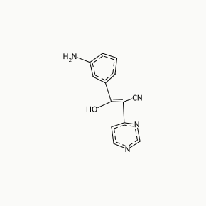 N#C/C(=C(/O)c1cccc(N)c1)c1ccncn1